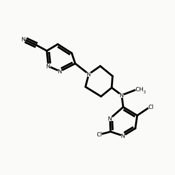 CN(c1nc(Cl)ncc1Cl)C1CCN(c2ccc(C#N)nn2)CC1